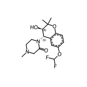 CN1CCN([C@H]2c3cc(OC(F)F)ccc3OC(C)(C)[C@@H]2O)C(=O)C1